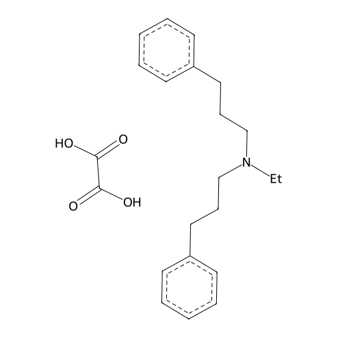 CCN(CCCc1ccccc1)CCCc1ccccc1.O=C(O)C(=O)O